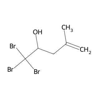 C=C(C)CC(O)C(Br)(Br)Br